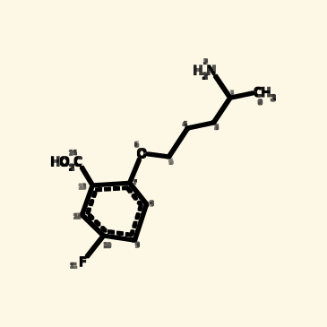 CC(N)CCCOc1ccc(F)cc1C(=O)O